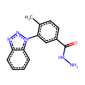 Cc1ccc(C(=O)NN)cc1-n1nnc2ccccc21